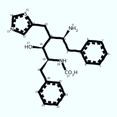 N[C@@H](Cc1ccccc1)C(Cc1cncs1)[C@H](O)[C@H](Cc1ccccc1)NC(=O)O